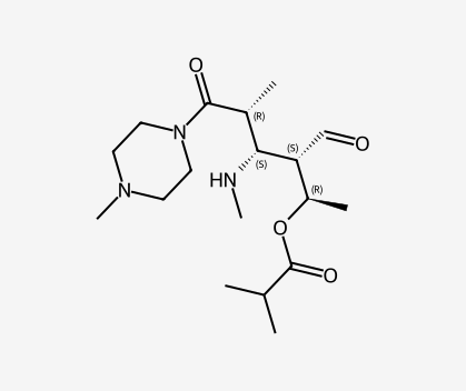 CN[C@@H]([C@H](C=O)[C@@H](C)OC(=O)C(C)C)[C@@H](C)C(=O)N1CCN(C)CC1